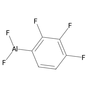 Fc1cc[c]([Al]([F])[F])c(F)c1F